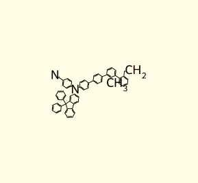 C=Cc1ccccc1-c1cccc(-c2ccc(-c3ccc(N(c4ccc(C#N)cc4)c4ccc5c(c4)C(c4ccccc4)(c4ccccc4)c4ccccc4-5)cc3)cc2)c1C